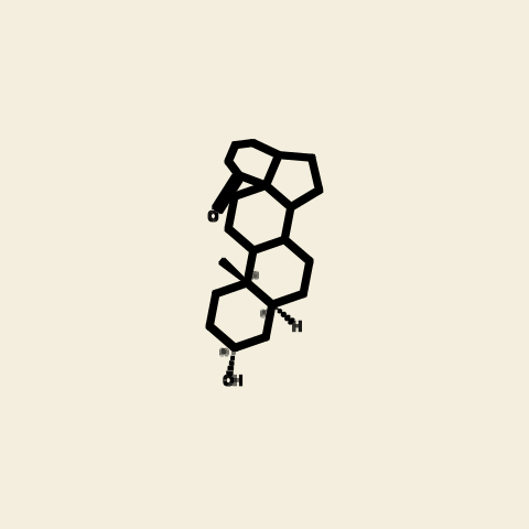 C[C@]12CC[C@@H](O)C[C@@H]1CCC1C3CCC4CCCC(=O)C43CCC12